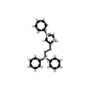 c1ccc(-n2cnc(CCP(c3ccccc3)c3ccccc3)c2)cc1